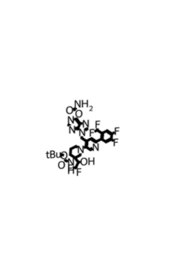 CC(C)(C)OC(=O)NC1(C(O)C(F)F)CCCN(c2cnc(-c3cc(F)c(F)cc3C(F)F)cc2Cn2cnc3c(OC(N)=O)ncnc32)C1